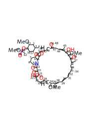 COC1CC(C[C@H]2C3CCCN4C(=O)C(=O)C5(O)O[C@@H](CCC5C)C[C@H](OC)/C(C)=C/C=C/C=C/[C@@H](C)CC(C)C(=O)[C@H](OC)C(O)/C(C)=C/[C@@H](C)C(=O)C[C@@H]2OC(=O)C34)CC[C@H]1OP(C)(=O)OC